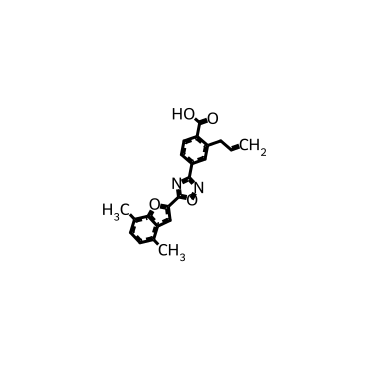 C=CCc1cc(-c2noc(-c3cc4c(C)ccc(C)c4o3)n2)ccc1C(=O)O